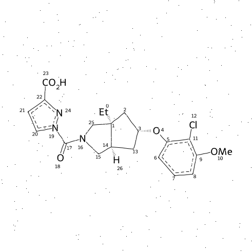 CC[C@]12C[C@H](Oc3cccc(OC)c3Cl)C[C@H]1CN(C(=O)n1ccc(C(=O)O)n1)C2